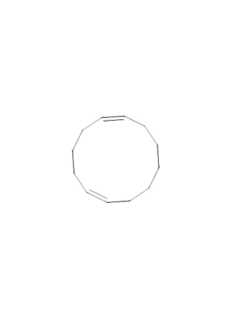 [CH]1/C=C\CCCCC/C=C\CC1